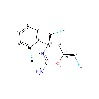 NC1=N[C@](CF)(c2ccccc2F)C[C@@H](CF)O1